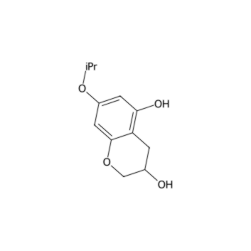 CC(C)Oc1cc(O)c2c(c1)OCC(O)C2